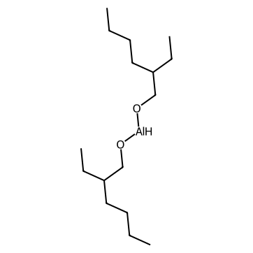 CCCCC(CC)C[O][AlH][O]CC(CC)CCCC